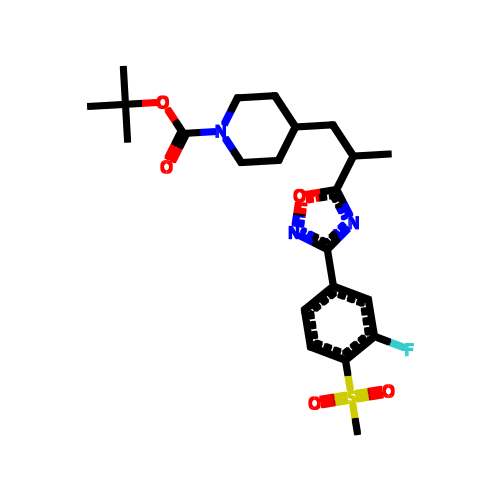 CC(CC1CCN(C(=O)OC(C)(C)C)CC1)c1nc(-c2ccc(S(C)(=O)=O)c(F)c2)no1